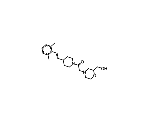 Cc1cccc(C)c1C=CC1CCN(C(=O)CN2CCOC(CO)C2)CC1